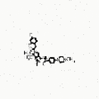 CN1CCN(c2ccc(C(=O)Nc3n[nH]c4c3CN(C(=O)Cc3ccc(F)cc3F)C4(C)C)cc2)CC1